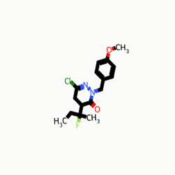 CCC(C)(F)C1CC(Cl)=NN(Cc2ccc(OC)cc2)C1=O